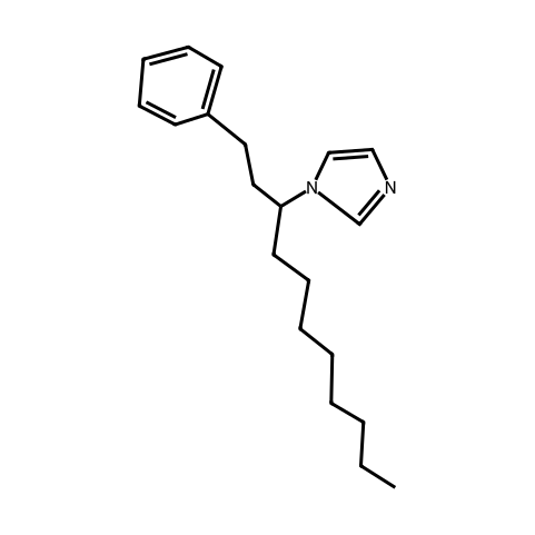 CCCCCCCCC(CCc1ccccc1)n1ccnc1